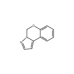 c1ccc2c(c1)OCn1nccc1-2